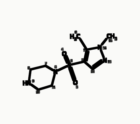 Cc1c(S(=O)(=O)N2CCNCC2)cnn1C